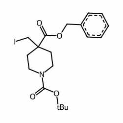 CC(C)(C)OC(=O)N1CCC(CI)(C(=O)OCc2ccccc2)CC1